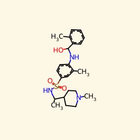 Cc1cc(S(=O)(=O)N[C@H](C)C2CCN(C)CC2)ccc1NC(O)c1ccccc1C